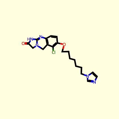 O=C1CN2Cc3c(ccc(OCCCCCCCn4ccnc4)c3Cl)N=C2N1